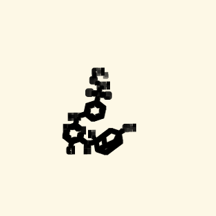 CONS(=O)(=O)c1cccc(Nc2ncc(Cl)c(N[C@H]3C4CC5CC3C[C@@](O)(C5)C4)n2)c1